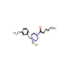 CCCCCCCCCCCCCC(=O)N1CC[N+](CC)(Cc2cccc(C)c2)CC1.[Br-]